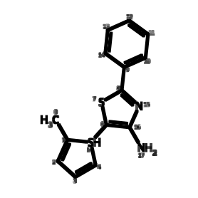 CC1=CC=C[SH]1c1sc(-c2ccccc2)nc1N